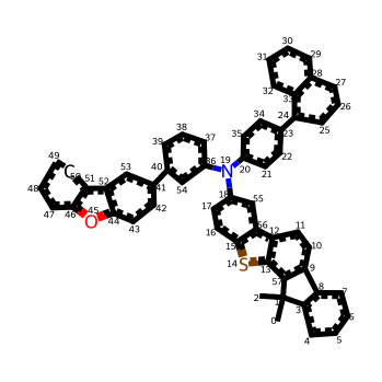 CC1(C)c2ccccc2-c2ccc3c(sc4ccc(N(c5ccc(-c6cccc7ccccc67)cc5)c5cccc(-c6ccc7oc8ccccc8c7c6)c5)cc43)c21